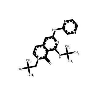 CC(C)(O)Cn1ccc2cc(Nc3cnccn3)nc(NC(C)(C)C)c2c1=O